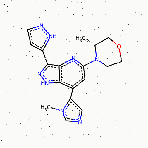 C[C@@H]1COCCN1c1cc(-c2cncn2C)c2[nH]nc(-c3ccn[nH]3)c2n1